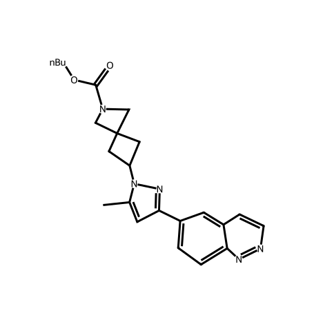 CCCCOC(=O)N1CC2(CC(n3nc(-c4ccc5nnccc5c4)cc3C)C2)C1